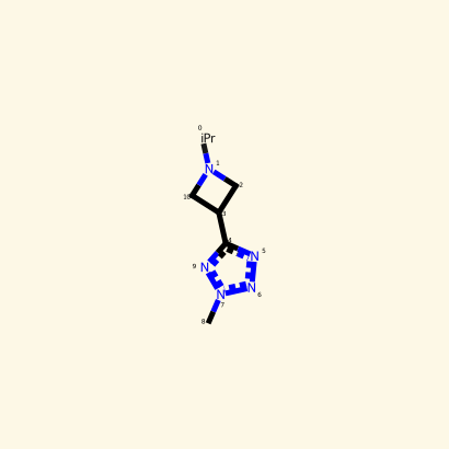 CC(C)N1CC(c2nnn(C)n2)C1